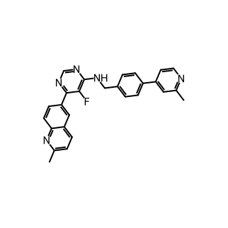 Cc1cc(-c2ccc(CNc3ncnc(-c4ccc5nc(C)ccc5c4)c3F)cc2)ccn1